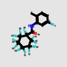 Cc1ccc(F)cc1NC(=O)C1(F)C(F)(F)C(F)(F)C(F)(F)C(F)(F)C1(F)F